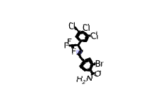 NC(=O)c1ccc(/C=C/C(c2cc(Cl)c(Cl)c(Cl)c2)C(F)(F)F)cc1Br